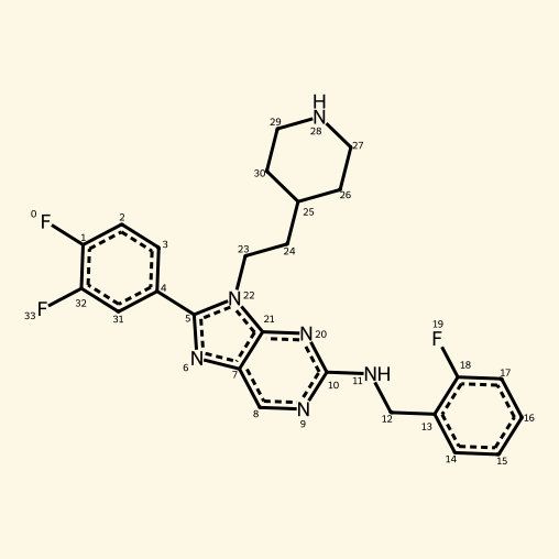 Fc1ccc(-c2nc3cnc(NCc4ccccc4F)nc3n2CCC2CCNCC2)cc1F